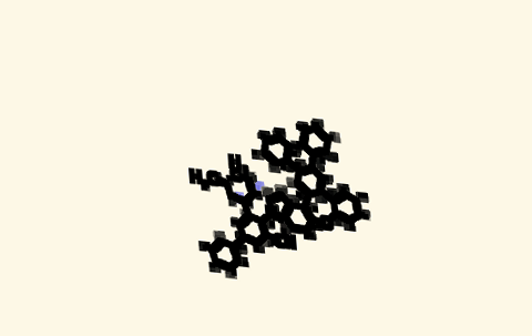 C=C/C=C(\C=C/C)c1cc(-c2ccccc2)cc(C#N)c1-n1ccc2c3c(ccc21)Oc1ccccc1-c1cc(-c2ccccc2)c(-c2ccccc2)cc1-3